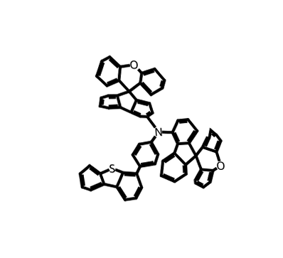 c1ccc2c(c1)Oc1ccccc1C21c2ccccc2-c2cc(N(c3ccc(-c4cccc5c4sc4ccccc45)cc3)c3cccc4c3-c3ccccc3C43c4ccccc4Oc4ccccc43)ccc21